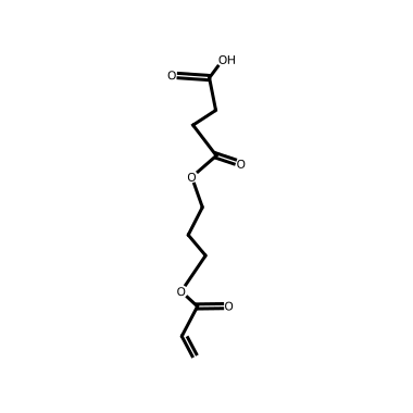 C=CC(=O)OCCCOC(=O)CCC(=O)O